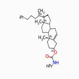 CCCNC(=O)O[C@H]1CC[C@@]2(C)C(=CCC3C2CC[C@@]2(C)C3CC[C@@H]2[C@H](C)CCCC(C)C)C1